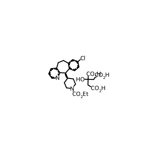 CCOC(=O)N1CCC(=C2c3ccc(Cl)cc3CCc3cccnc32)CC1.O=C(O)CC(O)(CC(=O)O)C(=O)O